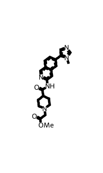 COC(=O)CN1CCC(C(=O)Nc2cc3cc(-c4cncn4C)ccc3cn2)CC1